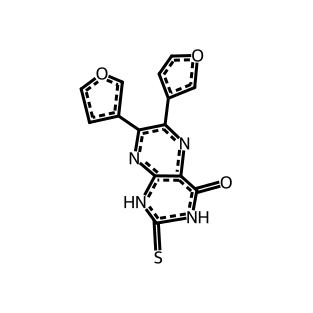 O=c1[nH]c(=S)[nH]c2nc(-c3ccoc3)c(-c3ccoc3)nc12